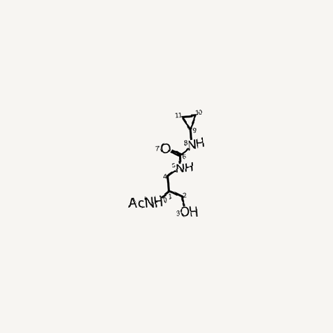 CC(=O)NC(CO)CNC(=O)NC1CC1